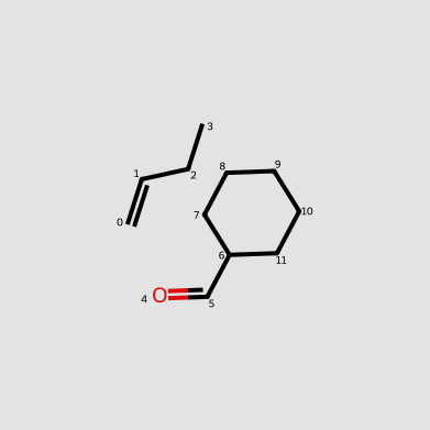 C=CCC.O=CC1CCCCC1